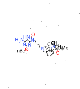 CCCCOc1nc(N)c2[nH]c(=O)n(CCCCN(Cc3cccc(CC(=O)OC)c3)CC(C)(C)CN(C)C)c2n1